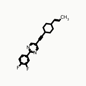 CC=CC1CCC(C#Cc2cnc(-c3ccc(F)c(F)c3)nc2)CC1